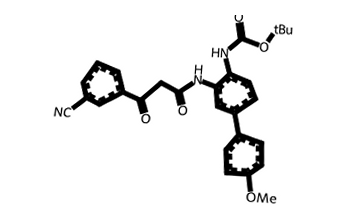 COc1ccc(-c2ccc(NC(=O)OC(C)(C)C)c(NC(=O)CC(=O)c3cccc(C#N)c3)c2)cc1